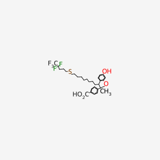 CC1(c2ccc(C(=O)O)cc2)COc2cc(O)ccc2C1CCCCCCCCCSCCCC(F)(F)C(F)(F)F